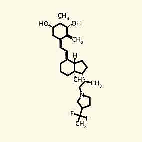 C=C1C(=CC=C2CCC[C@]3(C)[C@@H](C(C)CN4CCC(C(C)(F)F)C4)CC[C@@H]23)C[C@@H](O)[C@H](C)[C@@H]1O